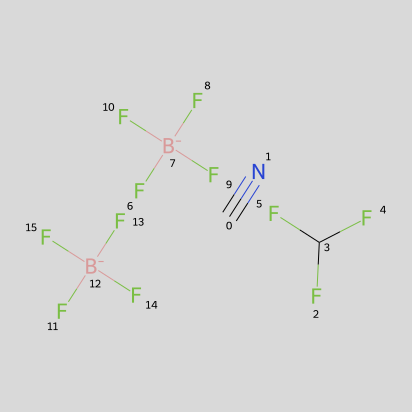 C#N.FC(F)F.F[B-](F)(F)F.F[B-](F)(F)F